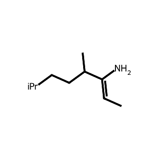 C/C=C(\N)C(C)CCC(C)C